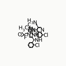 CC(C)(C)CNc1c(C#N)cnc2c(Cl)cc(NC(C3=CN(CC4(F)COC4)NN3)c3ccccc3Cl)cc12